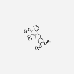 CCOc1ccc(CC2c3ccccc3C(OCC)C(OCC)N2C)cc1OCC